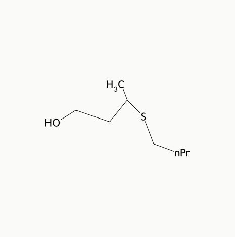 CCCCSC(C)CCO